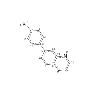 CCCc1ccc(-c2ccc3cccnc3c2)cc1